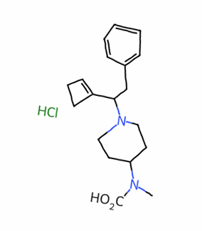 CN(C(=O)O)C1CCN(C(Cc2ccccc2)C2=CCC2)CC1.Cl